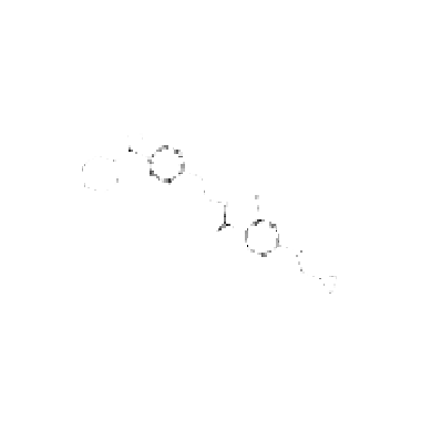 CC(c1ccc(CCNC(=O)c2ccc(OCC3CC3)cc2F)cc1)N1CCCCC1